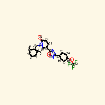 Cc1cccc(C)c1Cn1cc(-c2nc(-c3ccc(OC(F)(F)F)cc3)no2)ccc1=O